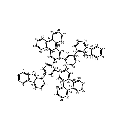 c1ccc2c(c1)oc1c(-c3ccc4c(c3)-c3cc5c6ccccc6c6ccccc6c5cc3-c3ccc(-c5cccc6c5oc5ccccc56)cc3-c3cc5c6ccccc6c6ccccc6c5cc3-4)cccc12